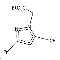 CCOC(=O)Cn1nc(C(C)C)cc1C(F)(F)F